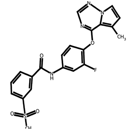 Cc1ccn2ncnc(Oc3ccc(NC(=O)c4cccc(S(C)(=O)=O)c4)cc3F)c12